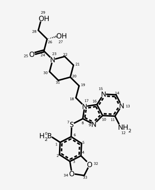 Bc1cc2c(cc1Sc1nc3c(N)ncnc3n1CCC1CCN(C(=O)[C@@H](O)CO)CC1)OCO2